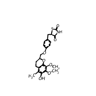 COc1c(O)c(C)c2c(c1OC)OC(COc1ccc(CC3SC(=O)NC3=O)cc1)CC2